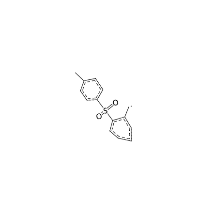 [CH2]c1ccccc1S(=O)(=O)c1ccc(C)cc1